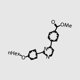 CCCCCCOc1ccc(-c2nccc(-c3ccc(C(=O)OC)cc3)n2)cc1